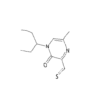 CCC(CC)n1cc(C)nc(C=S)c1=O